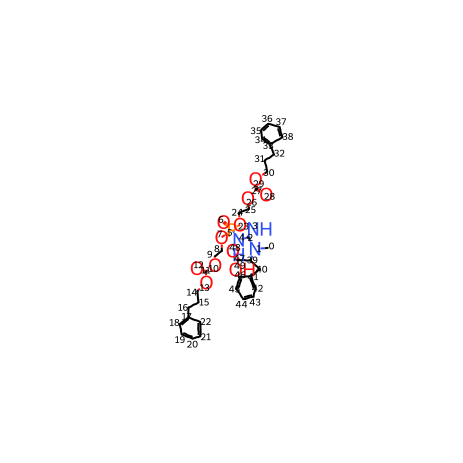 CN(C(=N)NP(=O)(OCCOC(=O)OCCCc1ccccc1)OCCOC(=O)OCCCc1ccccc1)C(Cc1ccccc1)C(=O)O